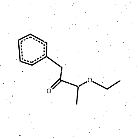 CCOC(C)C(=O)Cc1ccccc1